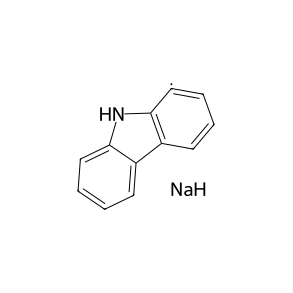 [NaH].[c]1cccc2c1[nH]c1ccccc12